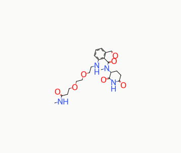 CNC(=O)CCOCCOCCNc1cccc(C=O)c1C(=O)N(C)C1CCC(=O)NC1=O